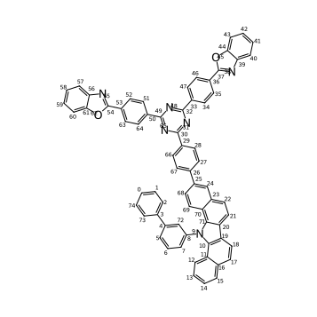 c1ccc(-c2cccc(-n3c4c5ccccc5ccc4c4ccc5cc(-c6ccc(-c7nc(-c8ccc(-c9nc%10ccccc%10o9)cc8)nc(-c8ccc(-c9nc%10ccccc%10o9)cc8)n7)cc6)ccc5c43)c2)cc1